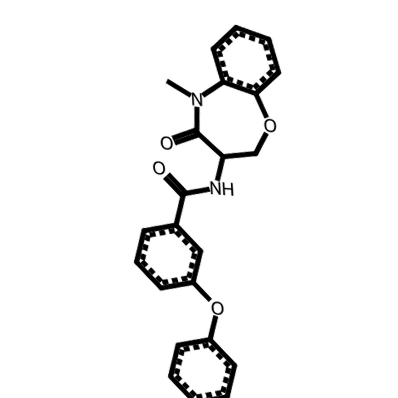 CN1C(=O)C(NC(=O)c2cccc(Oc3ccccc3)c2)COc2ccccc21